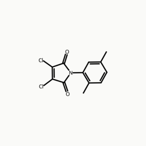 Cc1ccc(C)c(N2C(=O)C(Cl)=C(Cl)C2=O)c1